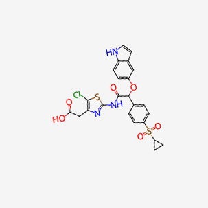 O=C(O)Cc1nc(NC(=O)C(Oc2ccc3[nH]ccc3c2)c2ccc(S(=O)(=O)C3CC3)cc2)sc1Cl